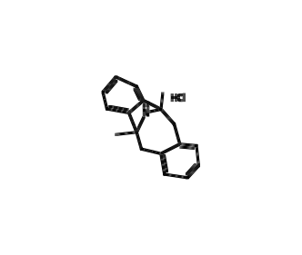 CC12Cc3ccccc3CC(C)(N1)c1ccccc12.Cl